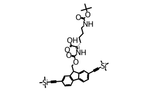 CC(C)(C)OC(=O)NCCCC[C@H](NC(=O)OCC1c2cc(C#C[Si](C)(C)C)ccc2-c2ccc(C#C[Si](C)(C)C)cc21)C(=O)O